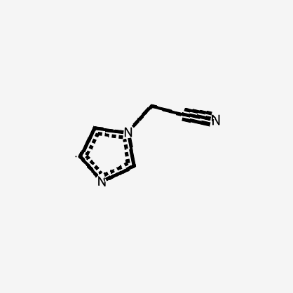 N#CCn1c[c]nc1